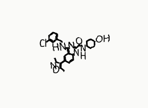 Cc1noc(C)c1-c1ccc2nc(C(=O)N[C@H]3CC[C@H](O)CC3)nc(NCc3cccc(Cl)c3)c2c1